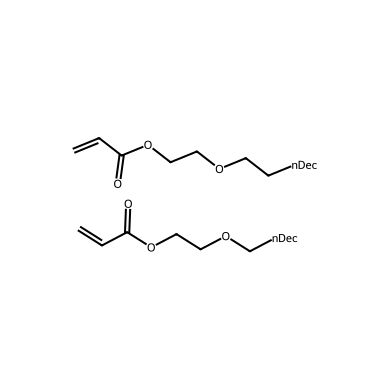 C=CC(=O)OCCOCCCCCCCCCCC.C=CC(=O)OCCOCCCCCCCCCCCC